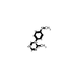 CSc1ccc(N2C=NC=NC2C)cc1